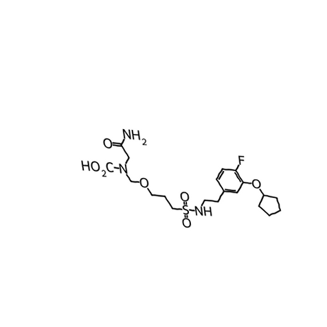 NC(=O)CN(COCCCS(=O)(=O)NCCc1ccc(F)c(OC2CCCC2)c1)C(=O)O